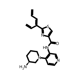 C=C/C=C(\C=C)c1nc(C(=O)Nc2cnccc2N2CCC[C@H](N)C2)cs1